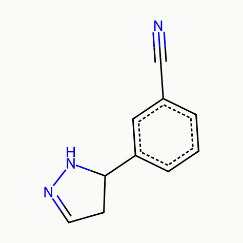 N#Cc1cccc(C2CC=NN2)c1